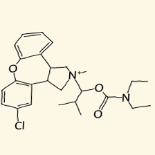 CCN(CC)C(=O)OC(C(C)C)[N+]1(C)CC2c3ccccc3Oc3ccc(Cl)cc3C2C1